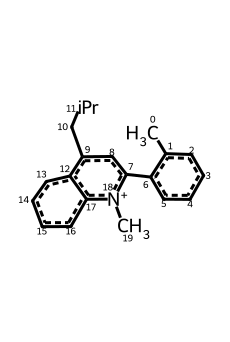 Cc1ccccc1-c1cc(CC(C)C)c2ccccc2[n+]1C